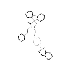 O=C(NCCc1ccccc1)C1(CCCCN2CCN(c3ccc4ccccc4n3)CC2)c2ccccc2-c2ccccc21